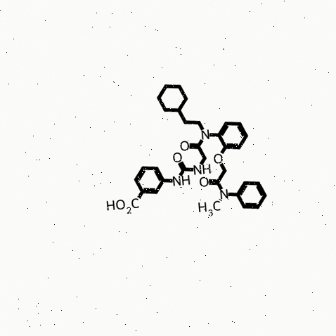 CN(C(=O)COc1ccccc1N(CCC1CCCCC1)C(=O)CNC(=O)Nc1cccc(C(=O)O)c1)c1ccccc1